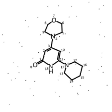 O=c1cc(N2CCOCC2)cc(N2CCCCC2)[nH]1